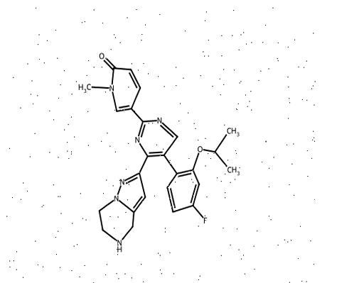 CC(C)Oc1cc(F)ccc1-c1cnc(-c2ccc(=O)n(C)c2)nc1-c1cc2n(n1)CCNC2